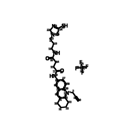 C#CC[n+]1c2c(cc3cc(NC(=O)CCC(=O)NCCSN4CN=C(S)S4)ccc31)CCCC2.F[B-](F)(F)F